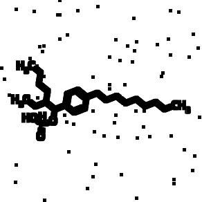 CCCCCCCCCc1ccc(C(O[PH](=O)O)C(CC)CCCC)cc1